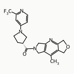 Cc1c2c(nc3c1CN(C(=O)[C@@H]1CCN(c4ccnc(C(F)(F)F)c4)C1)C3)COC2